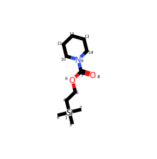 C[Si](C)(C)CCOC(=O)N1CCCCC1